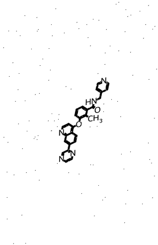 Cc1c(Oc2ccnc3cc(-c4cnccn4)ccc23)cccc1C(=O)NCc1ccncc1